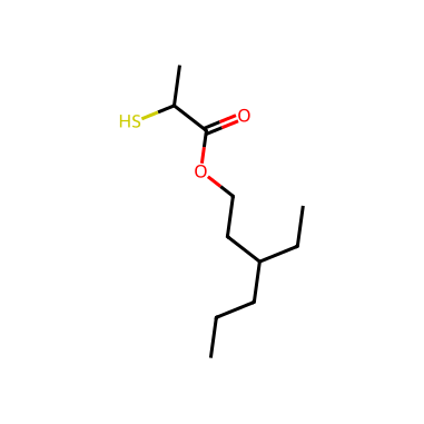 CCCC(CC)CCOC(=O)C(C)S